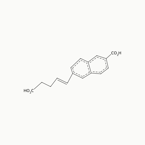 O=C(O)CC/C=C/c1ccc2cc(C(=O)O)ccc2c1